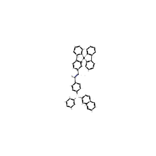 [2H]/C(=C(/[2H])c1ccc2c(c1)C1(c3ccccc3-c3ccccc31)c1ccccc1-2)c1ccc(N(c2ccccc2)c2ccc3ccccc3c2)cc1